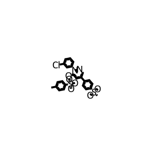 Cc1ccc(S(=O)(=O)Oc2c(-c3ccc(S(C)(=O)=O)cc3)cnn(-c3cccc(Cl)c3)c2=O)cc1